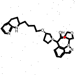 O=C(O)C(c1cccc2cnn(C3CCOC3)c12)N1CC[C@@H](OCCCCC2CCc3cccnc3N2)C1